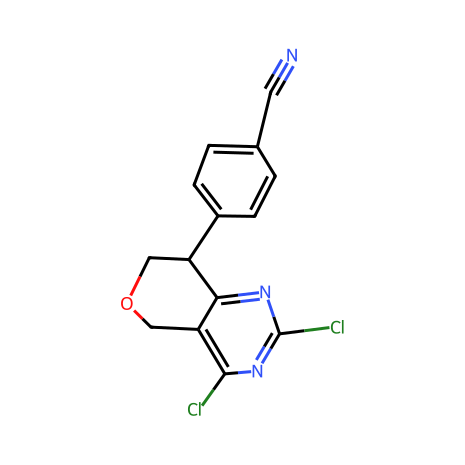 N#Cc1ccc(C2COCc3c(Cl)nc(Cl)nc32)cc1